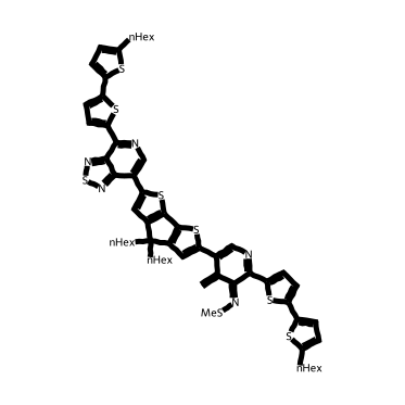 C=C1C(c2cc3c(s2)-c2sc(-c4cnc(-c5ccc(-c6ccc(CCCCCC)s6)s5)c5nsnc45)cc2C3(CCCCCC)CCCCCC)=CN=C(c2ccc(-c3ccc(CCCCCC)s3)s2)/C1=N/SC